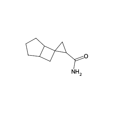 NC(=O)C1CC12CC1CCCC12